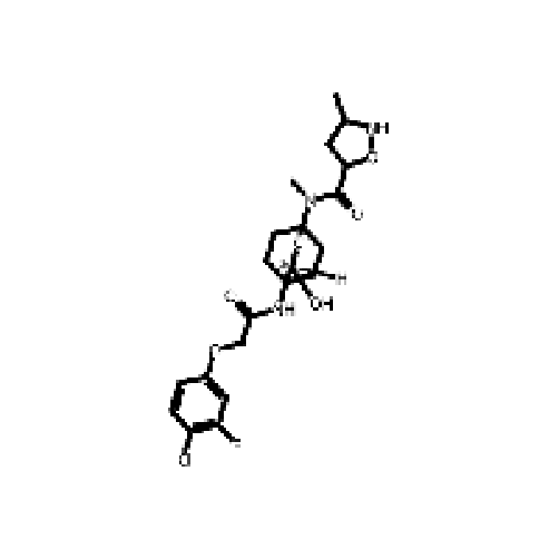 CC1CC(C(=O)N(C)C23CCC(NC(=O)COc4ccc(Cl)c(F)c4)(CC2)[C@@H](O)C3)ON1